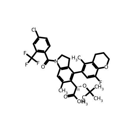 Cc1cc2c(c(-c3cc(F)c4c(c3C)CCCO4)c1[C@H](OC(C)(C)C)C(=O)O)CCN2C(=O)c1ccc(Cl)cc1C(F)(F)F